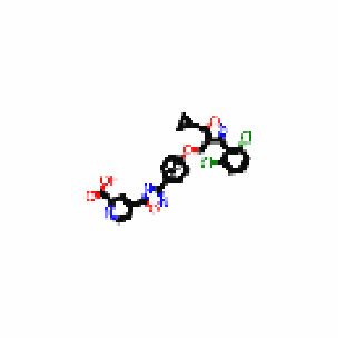 O=C(O)c1cc(-c2nc(C34CCC(OCc5c(-c6c(Cl)cccc6Cl)noc5C5CC5)(CC3)CC4)no2)ccn1